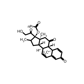 CCCC(=O)O[C@]1(C(=O)CO)C(C)C[C@H]2[C@@H]3C=CC4=CC(=O)C=C[C@]4(C)[C@H]3C(=O)C[C@@]21C